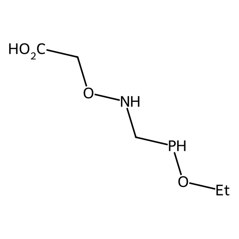 CCOPCNOCC(=O)O